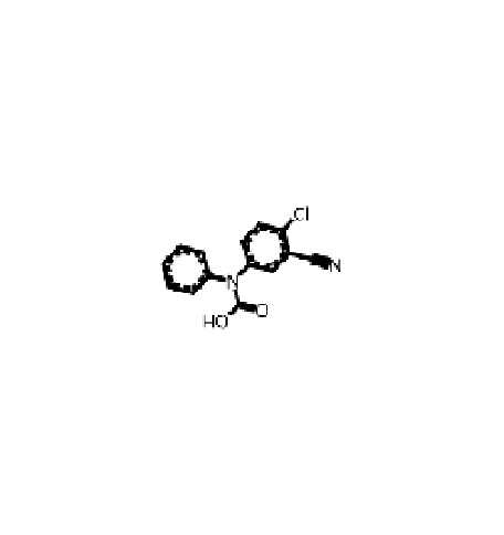 N#Cc1cc(N(C(=O)O)c2ccccc2)ccc1Cl